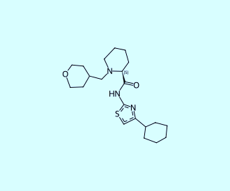 O=C(Nc1nc(C2CCCCC2)cs1)[C@@H]1CCCCN1CC1CCOCC1